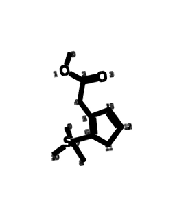 COC(=O)CC1=C([Si](C)(C)C)CC=C1